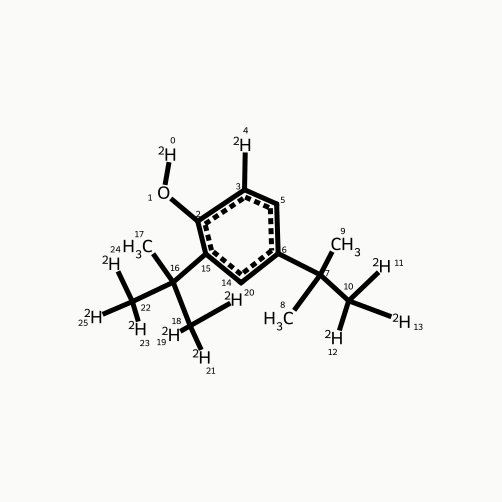 [2H]Oc1c([2H])cc(C(C)(C)C([2H])([2H])[2H])cc1C(C)(C([2H])([2H])[2H])C([2H])([2H])[2H]